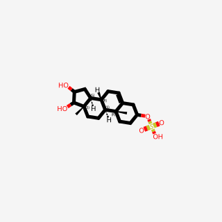 C[C@]12CCC(OS(=O)(=O)O)CC1=CC[C@@H]1[C@@H]2CC[C@]2(C)C(O)C(O)C[C@@H]12